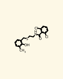 Cc1cccc(CSCCNC(=O)c2c(Cl)cccc2Cl)c1O